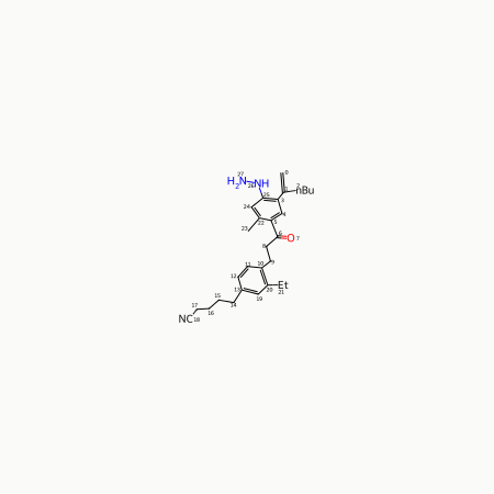 C=C(CCCC)c1cc(C(=O)CCc2ccc(CCCCC#N)cc2CC)c(C)cc1NN